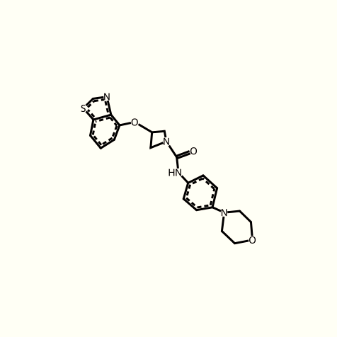 O=C(Nc1ccc(N2CCOCC2)cc1)N1CC(Oc2cccc3scnc23)C1